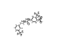 O=C(NCCc1cccc(C(F)(F)F)c1)Nc1ccc([N+](=O)[O-])c(C(F)(F)F)c1